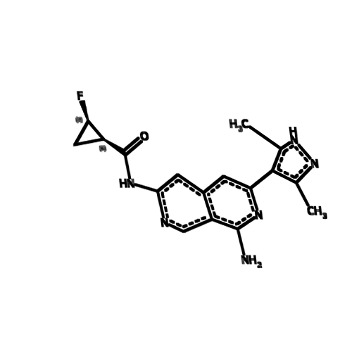 Cc1n[nH]c(C)c1-c1cc2cc(NC(=O)[C@H]3C[C@H]3F)ncc2c(N)n1